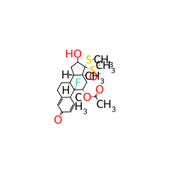 CS[C@@]1([S@@+](C)[O-])[C@H](O)C[C@H]2[C@@H]3CCC4=CC(=O)C=C[C@]4(C)C3(F)[C@@H](OC(C)=O)C[C@@]21C